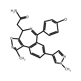 Cc1noc2c1-c1ccc(-c3cnn(C)c3)cc1C(c1ccc(Cl)cc1)=NC2CC(N)=O